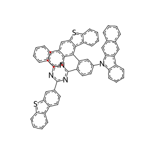 c1ccc(-c2nc(-c3ccc4c(c3)sc3ccccc34)nc(-c3ccc(-n4c5ccccc5c5cc6ccccc6cc54)cc3-c3c4ccccc4cc4sc5ccccc5c34)n2)cc1